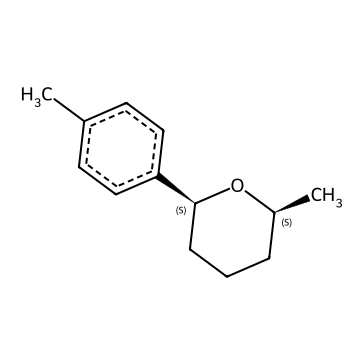 Cc1ccc([C@@H]2CCC[C@H](C)O2)cc1